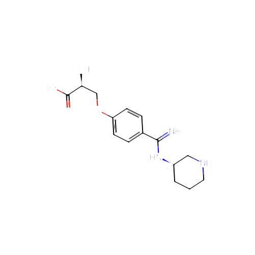 C[C@@H](COc1ccc(C(=N)N[C@@H]2CCCNC2)cc1)C(=O)O